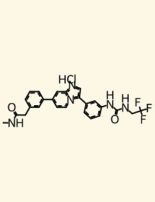 CNC(=O)Cc1cccc(-c2ccn3c(-c4cccc(NC(=O)NCC(F)(F)F)c4)cnc3c2)c1.Cl